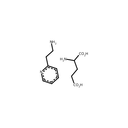 NC(CCC(=O)O)C(=O)O.NCCc1ccccn1